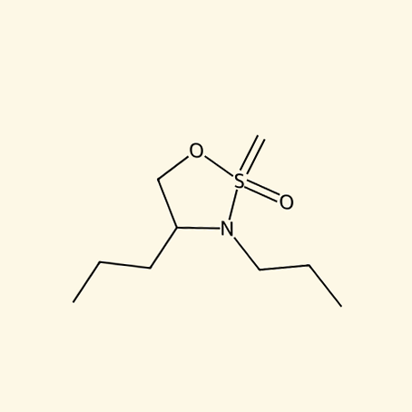 C=S1(=O)OCC(CCC)N1CCC